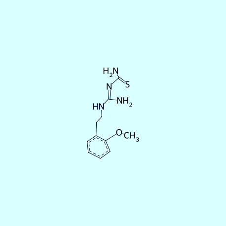 COc1ccccc1CCN/C(N)=N/C(N)=S